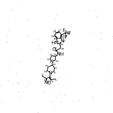 Cc1noc(C)c1N1CCC(N2CCC(NC(=O)Cc3nc4c(C(F)(F)F)cccc4[nH]3)C2)CC1